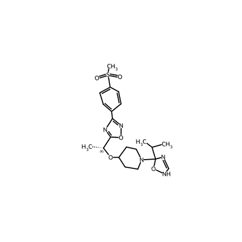 CC(C)C1(N2CCC(O[C@H](C)c3nc(-c4ccc(S(C)(=O)=O)cc4)no3)CC2)N=CNO1